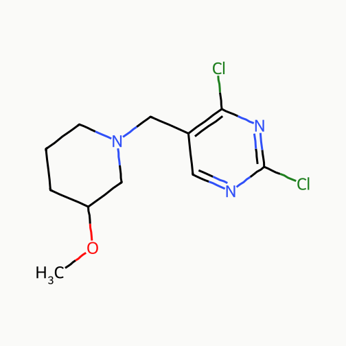 COC1CCCN(Cc2cnc(Cl)nc2Cl)C1